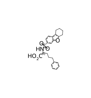 O=C(O)[C@H](CCCc1ccccc1)NS(=O)(=O)c1ccc2c3c(oc2c1)CCCC3